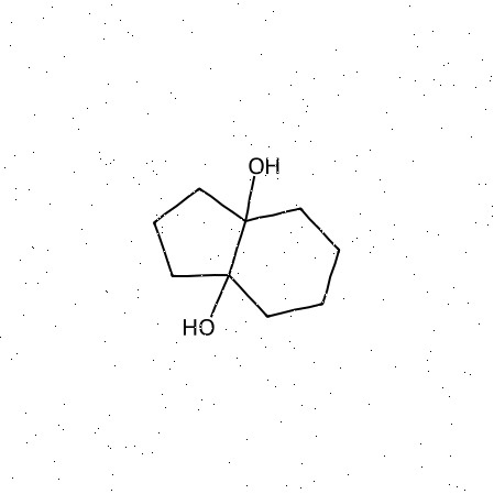 OC12CCCCC1(O)CCC2